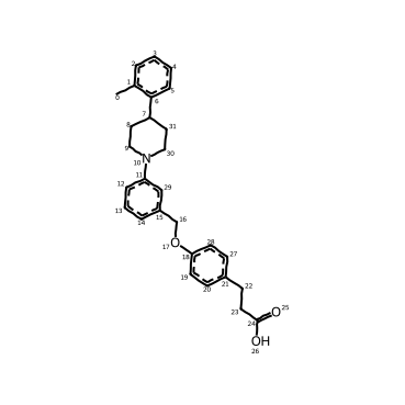 Cc1ccccc1C1CCN(c2cccc(COc3ccc(CCC(=O)O)cc3)c2)CC1